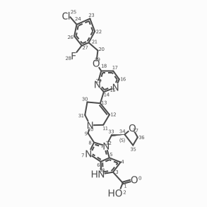 O=C(O)c1cc2c(nc(CN3CC=C(c4nccc(OCc5ccc(Cl)cc5F)n4)CC3)n2C[C@@H]2CCO2)[nH]1